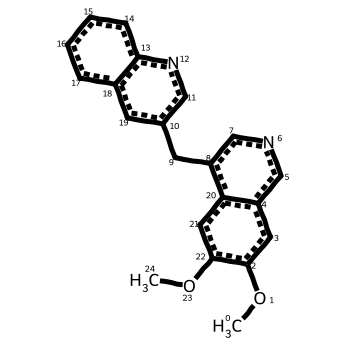 COc1cc2cncc(Cc3cnc4ccccc4c3)c2cc1OC